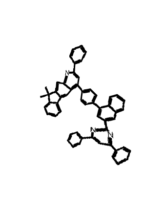 CC1(C)c2ccccc2-c2cc3c(-c4ccc(-c5cc(-c6nc(-c7ccccc7)cc(-c7ccccc7)n6)cc6ccccc56)cc4)cc(-c4ccccc4)nc3cc21